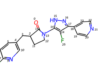 O=C1C(Cc2ccc(F)nc2)CCN1c1[nH]nc(-c2ccncc2)c1F